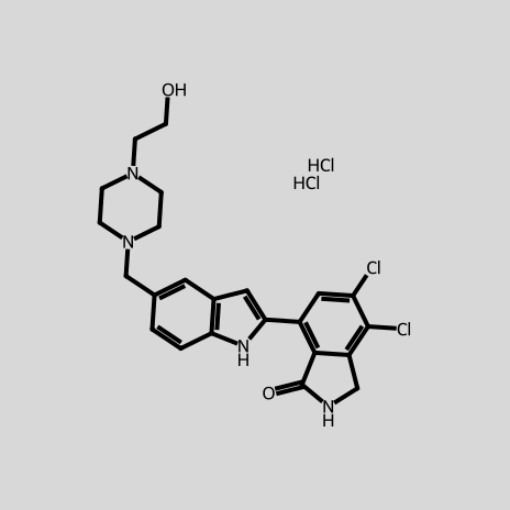 Cl.Cl.O=C1NCc2c(Cl)c(Cl)cc(-c3cc4cc(CN5CCN(CCO)CC5)ccc4[nH]3)c21